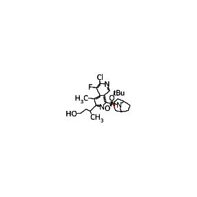 Cc1c(C(C)CCO)nc(N2CC3CCC(C2)N3C(=O)OC(C)(C)C)c2cnc(Cl)c(F)c12